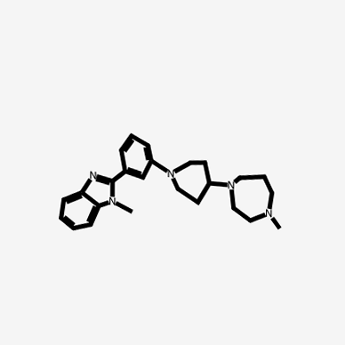 CN1CCCN(C2CCN(c3cccc(-c4nc5ccccc5n4C)c3)CC2)CC1